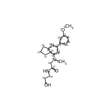 COc1ccnc(-c2nc3c(c(N(C)CC(=O)NCCO)n2)CCC3)c1